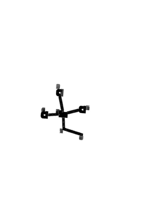 C[CH2][Sn]([Cl])([Cl])[Cl]